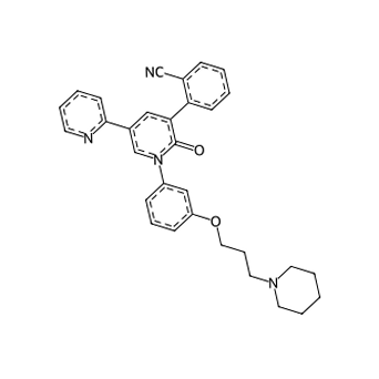 N#Cc1ccccc1-c1cc(-c2ccccn2)cn(-c2cccc(OCCCN3CCCCC3)c2)c1=O